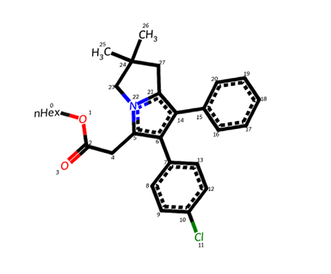 CCCCCCOC(=O)Cc1c(-c2ccc(Cl)cc2)c(-c2ccccc2)c2n1CC(C)(C)C2